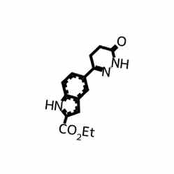 CCOC(=O)c1cc2cc(C3=NNC(=O)CC3)ccc2[nH]1